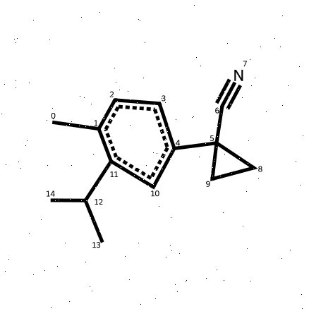 Cc1ccc(C2(C#N)CC2)cc1C(C)C